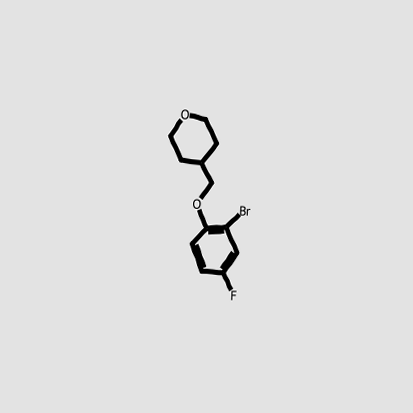 Fc1ccc(OCC2CCOCC2)c(Br)c1